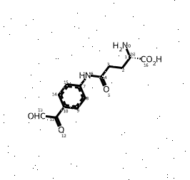 N[C@@H](CCC(=O)Nc1ccc(C(=O)C=O)cc1)C(=O)O